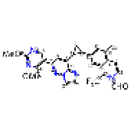 COc1ncc(-c2cc(C3CC3c3ccc(/C=C\N(C=O)CC(F)(F)F)c(C)c3)c3nccn3n2)c(OC)n1